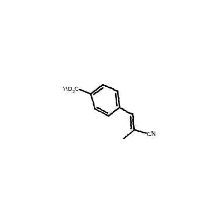 CC(C#N)=Cc1ccc(C(=O)O)cc1